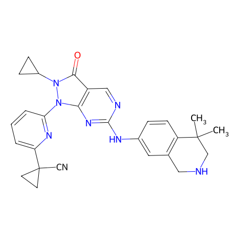 CC1(C)CNCc2cc(Nc3ncc4c(=O)n(C5CC5)n(-c5cccc(C6(C#N)CC6)n5)c4n3)ccc21